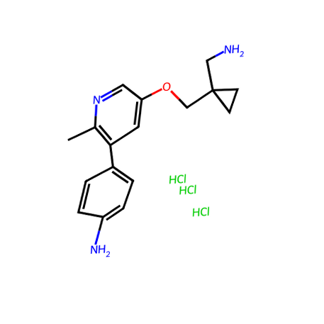 Cc1ncc(OCC2(CN)CC2)cc1-c1ccc(N)cc1.Cl.Cl.Cl